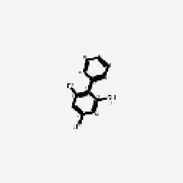 Fc1cc(F)c(-c2ccccc2)c(S)c1